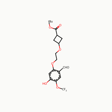 CC(C)(C)OC(=O)C1CC(OCCOc2cc(O)c(OC(F)(F)F)cc2C=O)C1